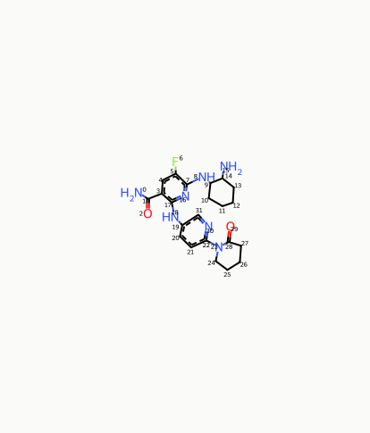 NC(=O)c1cc(F)c(NC2CCCCC2N)nc1Nc1ccc(N2CCCCC2=O)nc1